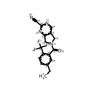 CCc1ccc(C(F)(F)F)c(C(=O)N2Cc3cnc(C#N)nc3C2)c1